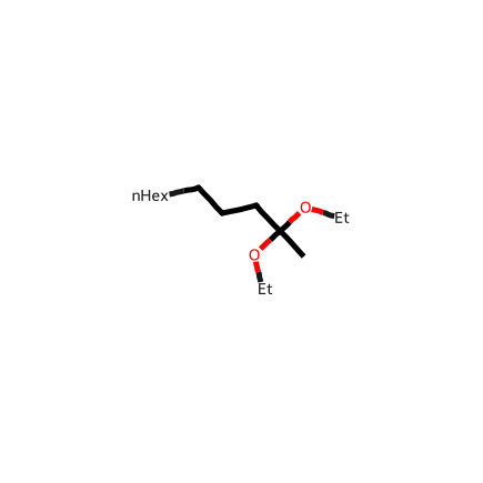 CCCCCCCCCC(C)(OCC)OCC